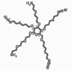 [N-]=[N+]=NCCSCCCOC[C@H]1O[C@@H](OCCOCCOCCN)[C@H](OCCCSCCN=[N+]=[N-])[C@@H](OCCCSCCN)[C@@H]1OCCCSCCN=[N+]=[N-]